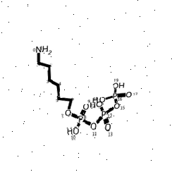 NCCCCCCOP(=O)(O)OP(=O)(O)OP(=O)(O)O